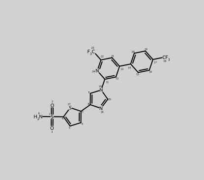 NS(=O)(=O)c1ccc(-c2cn(-c3cc(-c4ccc(C(F)(F)F)cc4)cc(C(F)(F)F)n3)cn2)s1